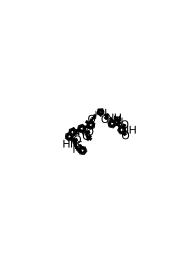 Cc1c(OCC[C@@H]2CCN(CC(=O)Nc3cccc4c(C5CCC(=O)NC5=O)nn(C)c34)C2)cccc1-c1ccc(N2CCc3cccc(C(=O)Nc4nc5ccccc5s4)c3C2)nc1C(=O)OC(C)(C)C